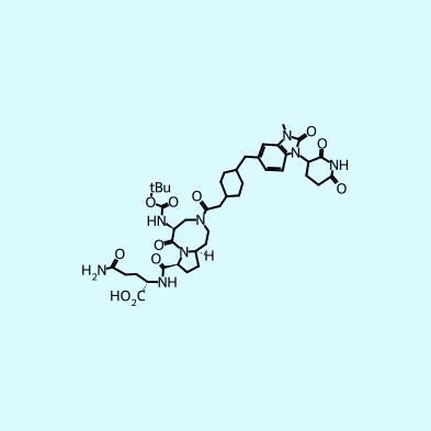 Cn1c(=O)n(C2CCC(=O)NC2=O)c2ccc(CC3CCC(CC(=O)N4CC[C@H]5CC[C@@H](C(=O)N[C@@H](CCC(N)=O)C(=O)O)N5C(=O)[C@@H](NC(=O)OC(C)(C)C)C4)CC3)cc21